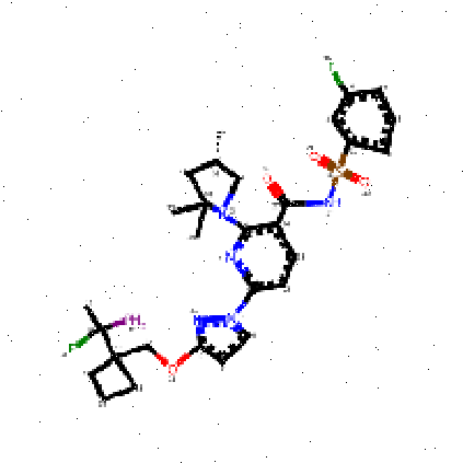 C[C@@H]1CN(c2nc(-n3ccc(OCC4(C(C)(F)P)CCC4)n3)ccc2C(=O)NS(=O)(=O)c2cccc(F)c2)C(C)(C)C1